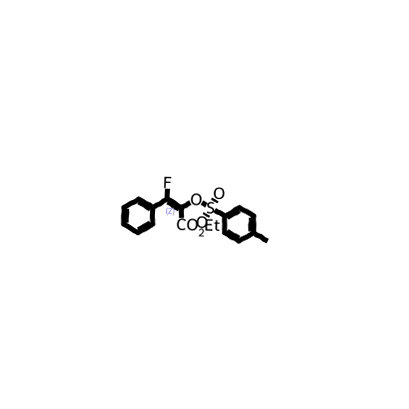 CCOC(=O)/C(OS(=O)(=O)c1ccc(C)cc1)=C(/F)c1ccccc1